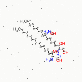 CCCCCCCCCCCCC/C=C/C(O)C(N)CO.CCCCCCCCCCCCC/C=C/C(O)C(N)CO.NO